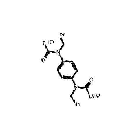 CC(C)CN(C(=O)C=O)c1ccc(N(CC(C)C)C(=O)C=O)cc1